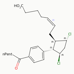 CCCCCC(=O)c1ccc([C@@H]2[C@@H](C/C=C\CCCC(=O)O)[C@H](Cl)C[C@H]2Cl)cc1